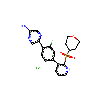 Cl.Nc1cnc(-c2ccc(-c3cccnc3S(=O)(=O)C3CCOCC3)cc2F)cn1